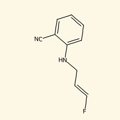 N#Cc1ccccc1NCC=CF